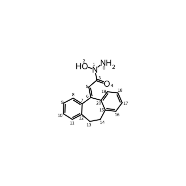 NN(O)C(=O)C=C1c2ccccc2CCc2ccccc21